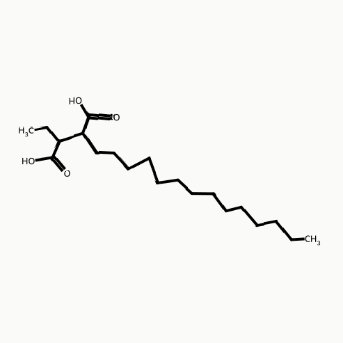 CCCCCCCCCCCCCCC(C(=O)O)C(CC)C(=O)O